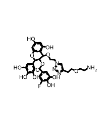 NCCOCCc1cn(CCOC2c3c(O)cc(O)cc3OC(c3cc(O)c(O)c(O)c3)C2OC(=O)c2cc(O)c(O)c(F)c2)nn1